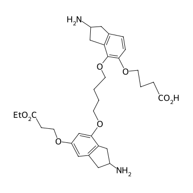 CCOC(=O)CCOc1cc2c(c(OCCCCOc3c(OCCCC(=O)O)ccc4c3CC(N)C4)c1)CC(N)C2